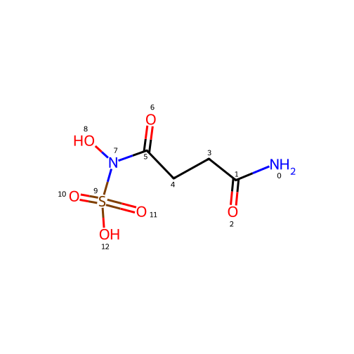 NC(=O)CCC(=O)N(O)S(=O)(=O)O